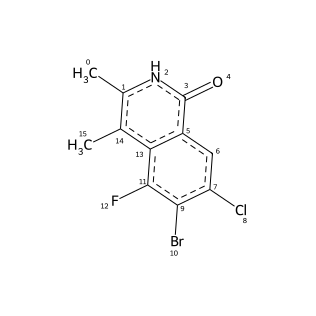 Cc1[nH]c(=O)c2cc(Cl)c(Br)c(F)c2c1C